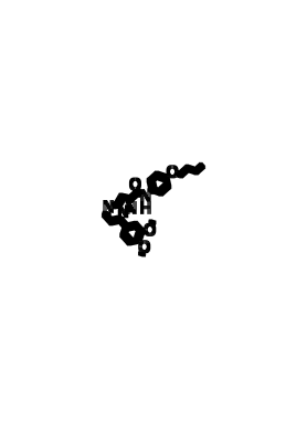 CCCCOc1ccc(NC(=O)c2cc3nccc(-c4ccc(OC)c(OC)c4)n3n2)cc1